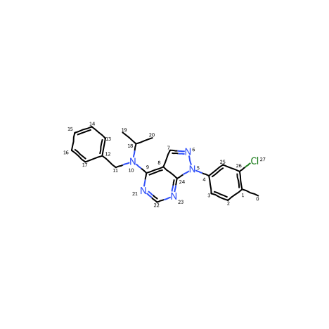 Cc1ccc(-n2ncc3c(N(Cc4ccccc4)C(C)C)ncnc32)cc1Cl